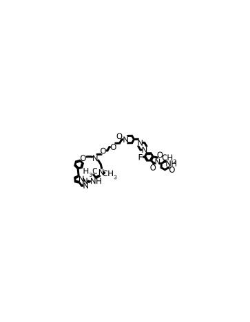 C=C1NC(=O)CCC1N1C(=O)c2cc(F)c(N3CCN(CC4CCN(C(=O)CCOCCOCCN5CCCN(C)/C=C(\CC)Nc6ncc7ccc(n7n6)-c6ccc(cc6)OCC5)CC4)CC3)cc2C1=O